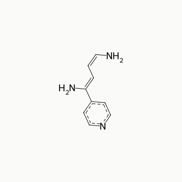 N/C=C\C=C(/N)c1ccncc1